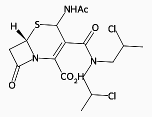 CC(=O)NC1S[C@H]2CC(=O)N2C(C(=O)O)=C1C(=O)N(CC(C)Cl)CC(C)Cl